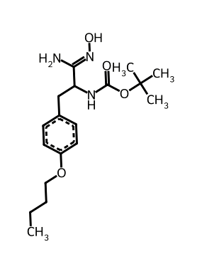 CCCCOc1ccc(CC(NC(=O)OC(C)(C)C)/C(N)=N/O)cc1